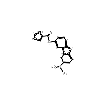 CN(C)C1=CC=c2oc3c(c2C1)C=C(NC(=O)c1ccc[nH]1)C=CC=3